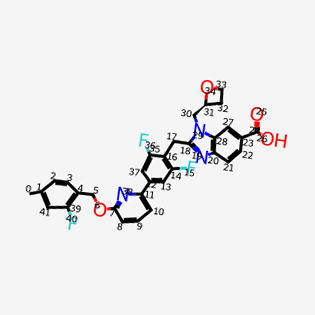 Cc1ccc(COc2cccc(-c3cc(F)c(Cc4nc5ccc(C(=O)O)cc5n4C[C@@H]4CCO4)c(F)c3)n2)c(F)c1